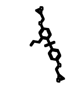 CCCc1cc(OCC2CO2)ccc1C(C)(C)c1ccc(OCC2CO2)cc1